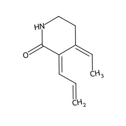 C=C/C=C1/C(=O)NCC/C1=C/C